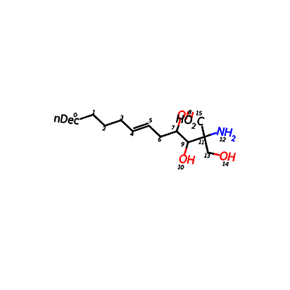 CCCCCCCCCCCCCC=CCC(O)C(O)C(N)(CO)C(=O)O